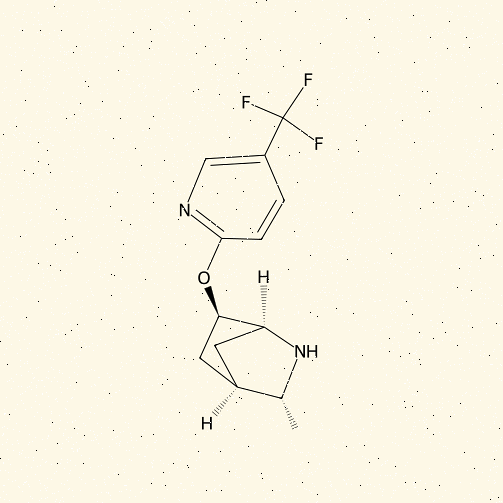 C[C@H]1N[C@H]2C[C@@H]1C[C@H]2Oc1ccc(C(F)(F)F)cn1